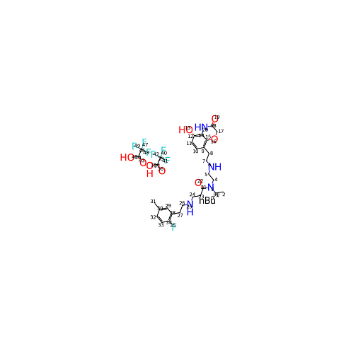 CCCC[C@@H](C)N(CCNCCc1ccc(O)c2c1OCC(=O)N2)C(=O)CCNCCc1cc(C)ccc1F.O=C(O)C(F)(F)F.O=C(O)C(F)(F)F